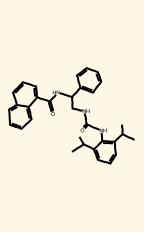 CC(C)c1cccc(C(C)C)c1NC(=O)NCC(NC(=O)c1cccc2ccccc12)c1ccccc1